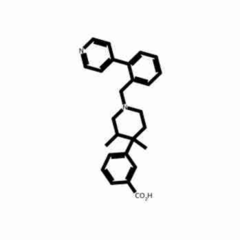 CC1CN(Cc2ccccc2-c2ccncc2)CCC1(C)c1cccc(C(=O)O)c1